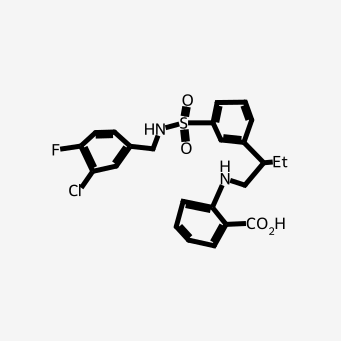 CCC(CNc1ccccc1C(=O)O)c1cccc(S(=O)(=O)NCc2ccc(F)c(Cl)c2)c1